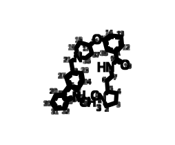 CN1CCCC1CCNC(=O)c1cccc(OC2CCN(Cc3ccc4c(c3)c3ccccc3n4C)CC2)c1